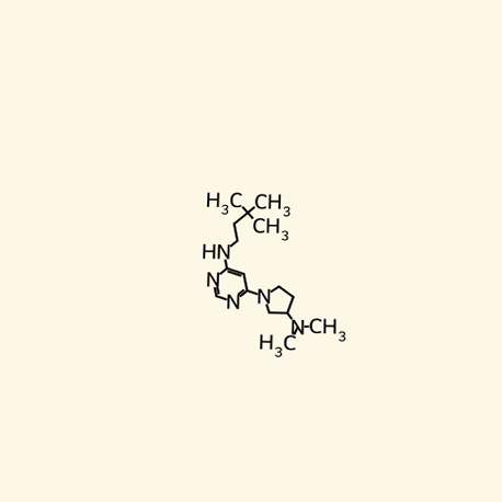 CN(C)C1CCN(c2cc(NCCC(C)(C)C)ncn2)C1